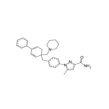 Cc1cc(C(N)=O)nn1-c1ccc(CC2(CN3CCCCC3)C=CC(c3ccccc3)=CC2)cc1